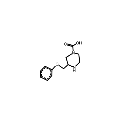 O=C(O)N1CCNC(COc2ccccc2)C1